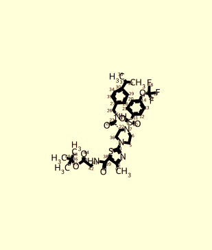 Cc1nc(N2CCN(S(=O)(=O)c3ccc(OC(F)(F)F)cc3)[C@@H](C(=O)NCc3ccc(C(C)C)cc3)C2)sc1C(=O)NCC(=O)OC(C)(C)C